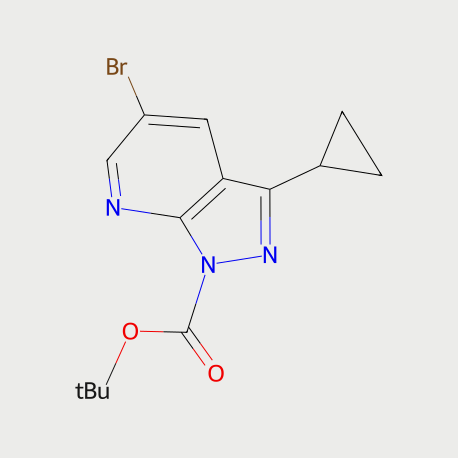 CC(C)(C)OC(=O)n1nc(C2CC2)c2cc(Br)cnc21